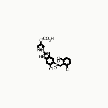 O=C(O)Oc1cnn(-c2nc3cc(S(=O)(=O)Cc4c(Cl)cccc4Cl)c(Cl)cc3[nH]2)c1